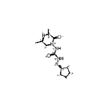 CC1=NNC(=O)N(NC(=O)NN=C2CCCC2)C1